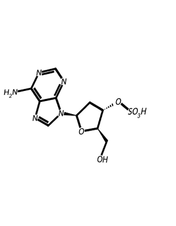 Nc1ncnc2c1ncn2[C@H]1C[C@H](OS(=O)(=O)O)[C@@H](CO)O1